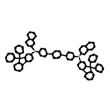 c1ccc(C2(c3ccccc3)c3ccccc3-c3ccc(N(c4ccc(-c5ccc(-c6ccc(N(c7ccc8c(c7)C(c7ccccc7)(c7ccccc7)c7ccccc7-8)c7ccc8ccccc8c7)cc6)cc5)cc4)c4ccc5ccccc5c4)cc32)cc1